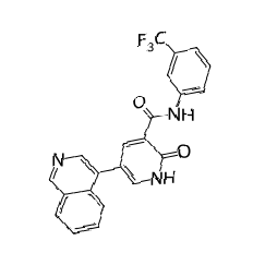 O=C(Nc1cccc(C(F)(F)F)c1)c1cc(-c2cncc3ccccc23)c[nH]c1=O